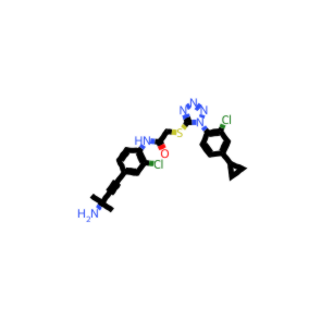 CC(C)(N)C#Cc1ccc(NC(=O)CSc2nnnn2-c2ccc(C3CC3)cc2Cl)c(Cl)c1